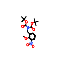 COc1c(CN(C(=O)OC(C)(C)C)C(=O)OC(C)(C)C)cccc1[N+](=O)[O-]